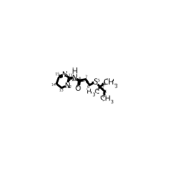 CCC(C)(C)SCCC(=O)NC1=NCCC=N1